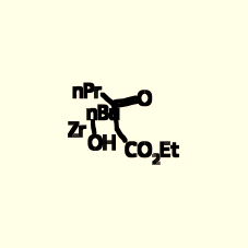 CCCC(=O)CC(=O)OCC.CCCCO.[Zr]